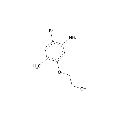 Cc1cc(Br)c(N)cc1OCCO